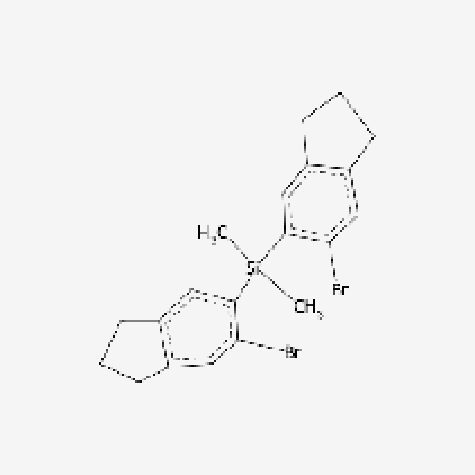 C[Si](C)(c1cc2c(cc1Br)CCC2)c1cc2c(cc1Br)CCC2